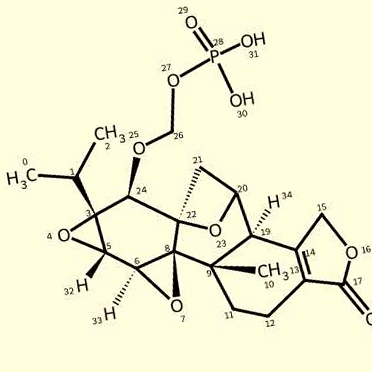 CC(C)[C@]12O[C@H]1[C@@H]1O[C@@]13[C@@]1(C)CCC4=C(COC4=O)[C@@H]1C1C[C@@]3(O1)[C@@H]2OCOP(=O)(O)O